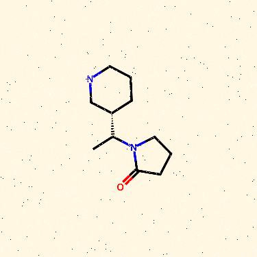 CC([C@H]1CCC[N]C1)N1CCCC1=O